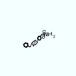 NS(=O)(=O)Cc1ccc(N2CCN(Cc3ccccc3)CC2)cc1